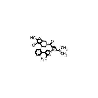 CCn1cc(-c2ccccc2[C@H]2CN(C(=O)/C=C/CN(C)C)Cc3sc(C#N)c(Cl)c32)c(C(F)(F)F)n1